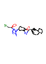 O=C(CBr)Nc1ccc2oc(-c3ccc4ccccc4c3)nc2c1